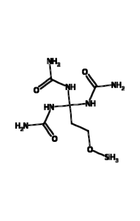 NC(=O)NC(CCO[SiH3])(NC(N)=O)NC(N)=O